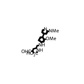 CNc1cc(-c2ccc(NCC(CC(C)C=O)NC(=O)O)cc2OC)ccn1